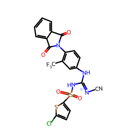 N#C/N=C(\Nc1ccc(N2C(=O)c3ccccc3C2=O)c(C(F)(F)F)c1)NS(=O)(=O)c1ccc(Cl)s1